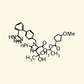 CCCc1nc(C(C)(C)O)c(C(=O)OC(C)OC(=O)[C@H]2CC[C@@H](OC)C2)n1Cc1ccc(-c2ccccc2-c2nnn[nH]2)cc1